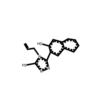 C=CCn1c(S)nnc1-c1cc2ccccc2cc1O